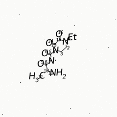 CCN1CCN(C(=O)[N]C(=O)[C@@H](C)N)C(=O)C1=O